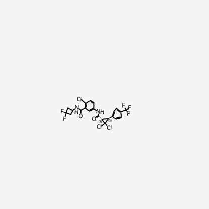 O=C(NC1CC(F)(F)C1)c1cc(NC(=O)[C@@H]2[C@@H](c3ccc(C(F)(F)F)cc3)C2(Cl)Cl)ccc1Cl